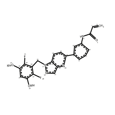 C=CC(=O)Nc1cccc(-c2ccc3c(cnn3Cc3c(F)c(OC)cc(OC)c3F)n2)c1